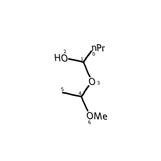 CCCC(O)OC(C)OC